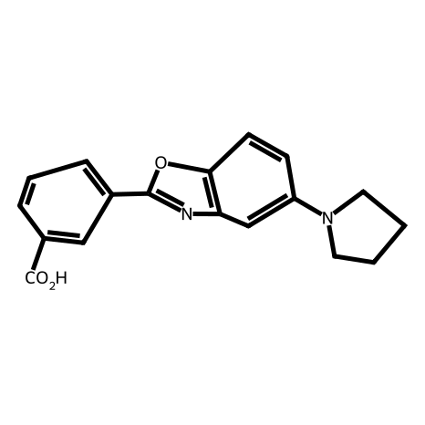 O=C(O)c1cccc(-c2nc3cc(N4CCCC4)ccc3o2)c1